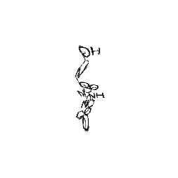 COc1cc2c(Nc3ccc(Oc4ccccc4OC)cc3)c(C#N)cnc2cc1OCCCN1CCC(CO)CC1